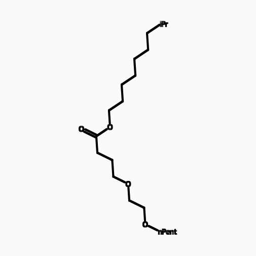 CCCCCOCCOCCCC(=O)OCCCCCCCC(C)C